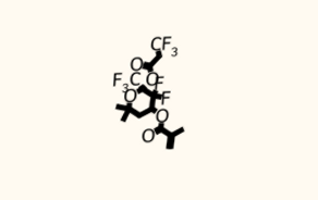 C=C(C)C(=O)OC1CC(C)(C)OC(OC(=O)CC(F)(F)F)(C(F)(F)F)C1(F)F